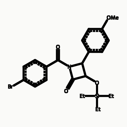 CC[Si](CC)(CC)OC1C(=O)N(C(=O)c2ccc(Br)cc2)C1c1ccc(OC)cc1